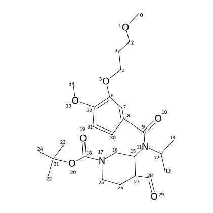 COCCCOc1cc(C(=O)N(C(C)C)C2CN(C(=O)OC(C)(C)C)CCC2C=O)ccc1OC